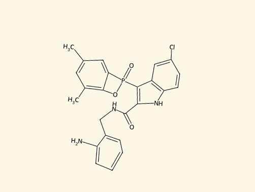 Cc1cc(C)c2c(c1)P(=O)(c1c(C(=O)NCc3ccccc3N)[nH]c3ccc(Cl)cc13)O2